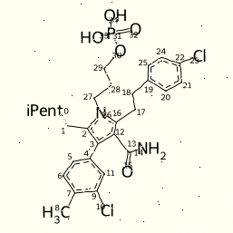 CCC[C@@H](C)Cc1c(-c2ccc(C)c(Cl)c2)c(C(N)=O)c(CCc2ccc(Cl)cc2)n1CCCOP(=O)(O)O